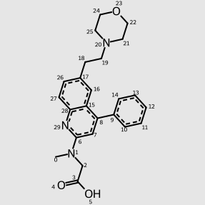 CN(CC(=O)O)c1cc(-c2ccccc2)c2cc(CCN3CCOCC3)ccc2n1